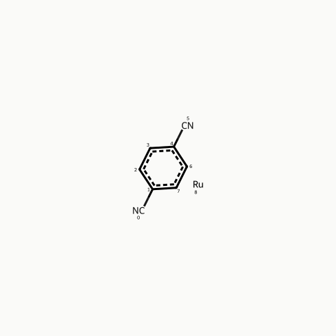 N#Cc1ccc(C#N)cc1.[Ru]